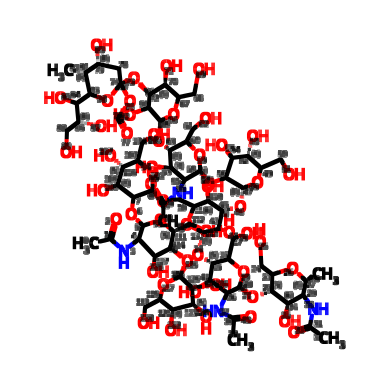 CC(=O)NC1C(OC2[C@@H](OCC3O[C@@H](O[C@@H]4C(CO)O[C@@H](O[C@@H]5C(CO)O[C@@H](C)C(NC(C)=O)[C@H]5O)C(NC(C)=O)[C@H]4O)C(O)[C@@H](O[C@H]4OC(CO)[C@@H](O)C(O)C4O[C@@H]4OC(CO)[C@@H](O[C@@H]5OC(CO)[C@H](O)[C@H](O[C@]6(OC=O)C[C@@H](O)[C@@H](C)C(C(O)[C@H](O)CO)O6)C5O)[C@H](O)C4NC(C)=O)[C@@H]3O)OC(CO)[C@@H](O)[C@@H]2O)O[C@@H](CO)[C@@H](O[C@@H]2OC(CO)[C@H](O)[C@H](O)C2O)C1O